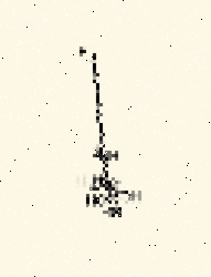 CCC=CCC=CCC=CCC=CCC=CCC=CCCC(=O)NCCCCC(N)C(=O)N[C@@H]1[C@@H](O)[C@H](O)[C@@H](CO)O[C@H]1O